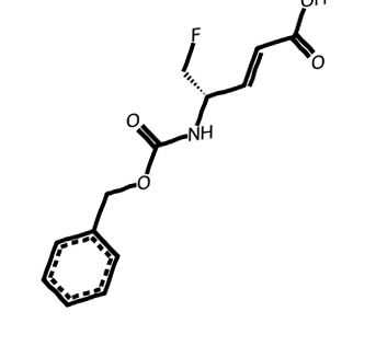 O=C(O)C=C[C@@H](CF)NC(=O)OCc1ccccc1